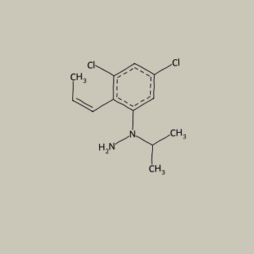 C/C=C\c1c(Cl)cc(Cl)cc1N(N)C(C)C